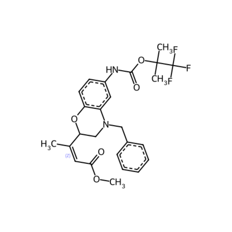 COC(=O)/C=C(/C)C1CN(Cc2ccccc2)c2cc(NC(=O)OC(C)(C)C(F)(F)F)ccc2O1